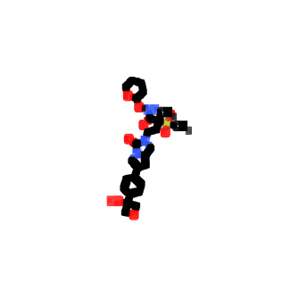 CC(CCN1Cc2cc(-c3ccc(C4(O)COC4)cc3)cn2C1=O)(C(=O)NOC1CCCCO1)S(C)(=O)=O